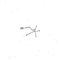 CCCC[SH](I)(I)(I)I